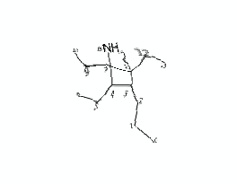 CCCC1C(CC)C(N)(CC)C1CC